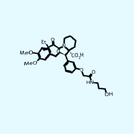 CCC(C)(C)C(=O)C(=O)N1CCCC[C@@]1(C(=O)O)[C@H](CCc1ccc(OC)c(OC)c1)c1cccc(OCC(=O)NCCCO)c1